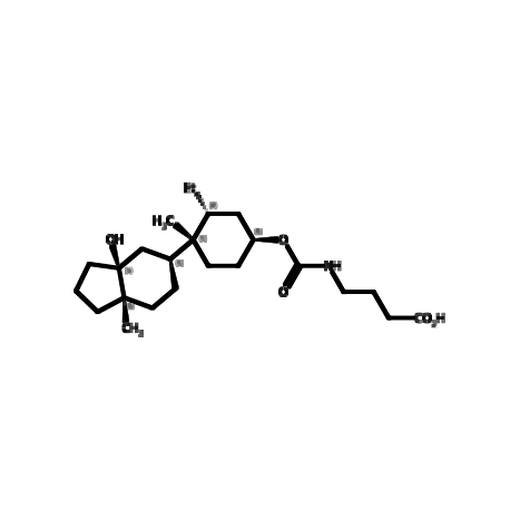 CC[C@@H]1C[C@@H](OC(=O)NCCCC(=O)O)CC[C@]1(C)[C@H]1CC[C@]2(C)CCC[C@]2(O)C1